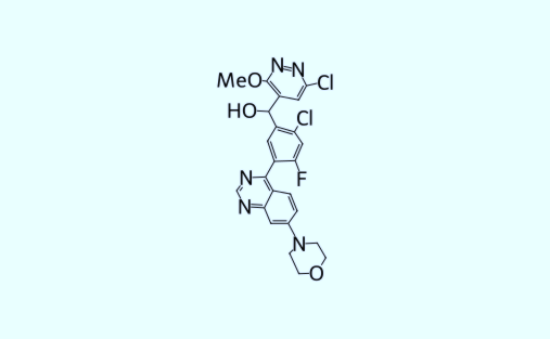 COc1nnc(Cl)cc1C(O)c1cc(-c2ncnc3cc(N4CCOCC4)ccc23)c(F)cc1Cl